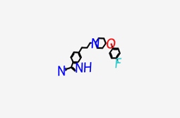 N#Cc1c[nH]c2cc(CCCN3CCC(Oc4ccc(F)cc4)CC3)ccc12